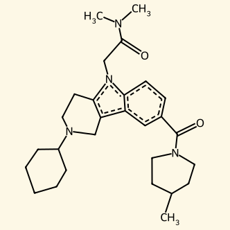 CC1CCN(C(=O)c2ccc3c(c2)c2c(n3CC(=O)N(C)C)CCN(C3CCCCC3)C2)CC1